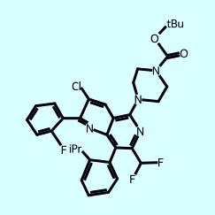 CC(C)c1ccccc1-c1c(C(F)F)nc(N2CCN(C(=O)OC(C)(C)C)CC2)c2cc(Cl)c(-c3ccccc3F)nc12